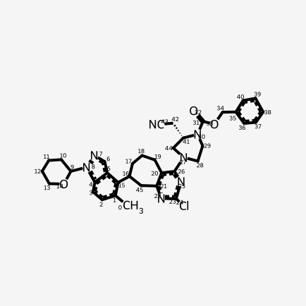 Cc1ccc2c(cnn2C2CCCCO2)c1C1CCCc2c(nc(Cl)nc2N2CCN(C(=O)OCc3ccccc3)[C@@H](CC#N)C2)C1